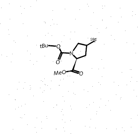 COC(=O)[C@@H]1CC([18F])CN1C(=O)OC(C)(C)C